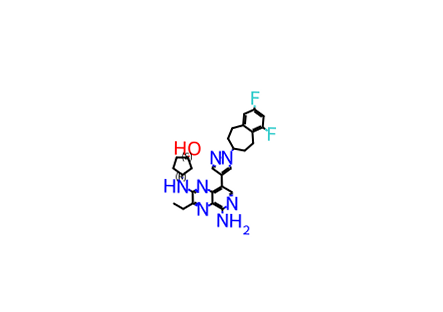 CCc1nc2c(N)ncc(-c3cnn(C4CCc5cc(F)cc(F)c5CC4)c3)c2nc1N[C@@H]1CC[C@H](O)C1